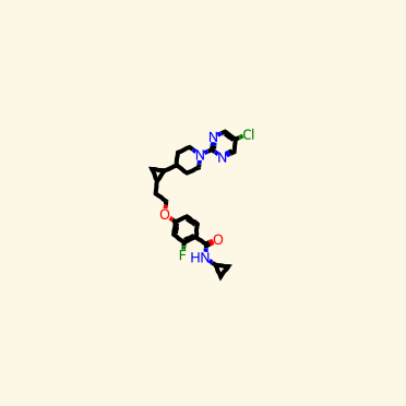 O=C(NC1CC1)c1ccc(OCCC2CC2C2CCN(c3ncc(Cl)cn3)CC2)cc1F